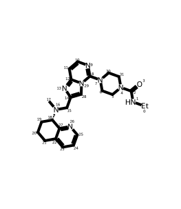 CCNC(=O)N1CCN(c2nccc3nc(CN(C)[C@H]4CCCc5cccnc54)cn23)CC1